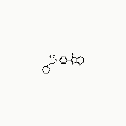 CN(CCN1CCCCC1)c1ccc(-c2nc3ncccc3[nH]2)cc1